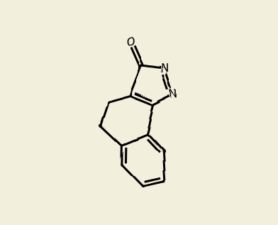 O=C1N=NC2=C1CCc1ccccc12